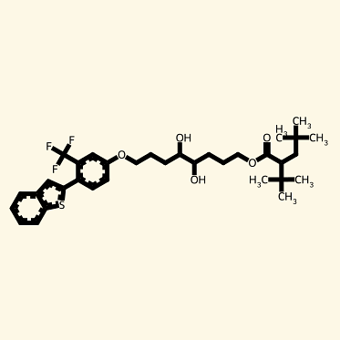 CC(C)(C)CC(C(=O)OCCCC(O)C(O)CCCOc1ccc(-c2cc3ccccc3s2)c(C(F)(F)F)c1)C(C)(C)C